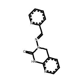 O=C1Nc2ncccc2CN1/N=C/c1ccccn1